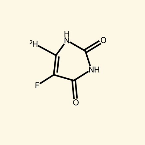 [2H]c1[nH]c(=O)[nH]c(=O)c1F